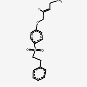 NC/C=C(\F)COc1ccc(S(=O)(=O)CCc2ccccc2)cc1